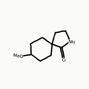 COC1CCC2(CCNC2=O)CC1